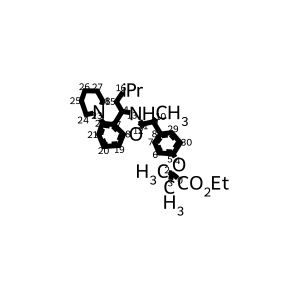 CCOC(=O)C(C)(C)Oc1ccc(C(C)C(=O)NC(CC(C)C)c2ccccc2N2CCCCC2)cc1